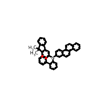 CC1(C)c2ccccc2-c2cc(N(c3ccc4c(ccc5c6ccccc6ccc45)c3)c3ccccc3-c3ccccc3)ccc21